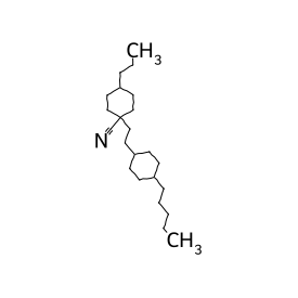 CCCCCC1CCC(CCC2(C#N)CCC(CCC)CC2)CC1